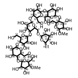 CCC1O[C@H](OCC2O[C@H](O[C@@H]3C(CO)O[C@H](O[C@@H]4C(CO)O[C@H](O[C@@H]5C(CO)O[C@H](OC)[C@H](O)[C@H]5O)[C@H](O)[C@H]4O)[C@H](O)[C@H]3O)[C@H](O)[C@@H](O)[C@@H]2O[C@H]2OC(CO)[C@@H](O[C@H]3OC(CO)C(O[C@H]4OC(CO)[C@@H](OC)[C@H](O)[C@H]4O)[C@H](O)[C@H]3O)[C@H](O)[C@H]2O)[C@H](O)[C@@H](O)[C@@H]1O